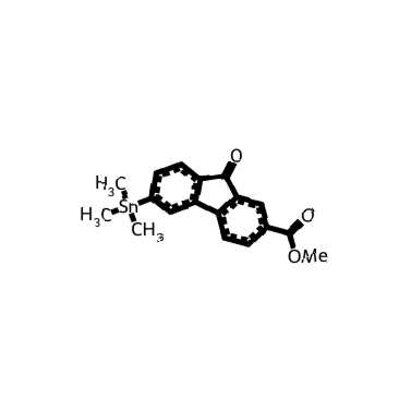 COC(=O)c1ccc2c(c1)C(=O)c1cc[c]([Sn]([CH3])([CH3])[CH3])cc1-2